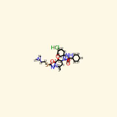 CC(C)CC(C(=O)c1nnc(SCCN(C)C)o1)N(C=O)C1(NC(=O)C2CCCCC2)CCCCC1.Cl